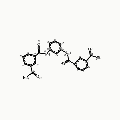 CCC(=O)c1cccc(C(=O)Nc2cccc(NC(=O)c3cccc(C(=O)CC)c3)c2)c1